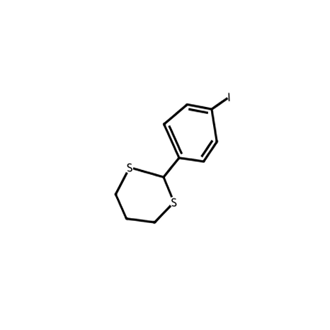 Ic1ccc(C2SCCCS2)cc1